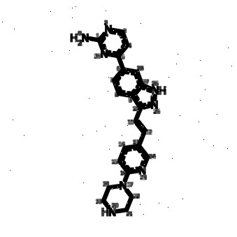 Nc1nccc(-c2ccc3c(C=Cc4ccc(N5CCNCC5)nc4)n[nH]c3c2)n1